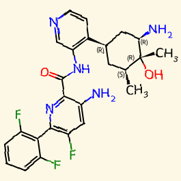 C[C@H]1C[C@@H](c2ccncc2NC(=O)c2nc(-c3c(F)cccc3F)c(F)cc2N)C[C@@H](N)[C@]1(C)O